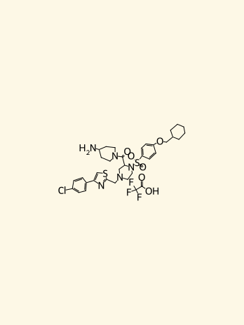 NC1CCN(C(=O)C2CN(Cc3nc(-c4ccc(Cl)cc4)cs3)CCN2S(=O)(=O)c2ccc(OCC3CCCCC3)cc2)CC1.O=C(O)C(F)(F)F